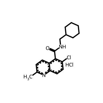 Cc1ccc2c(C(=O)NCC3CCCCC3)c(Cl)ccc2n1.Cl